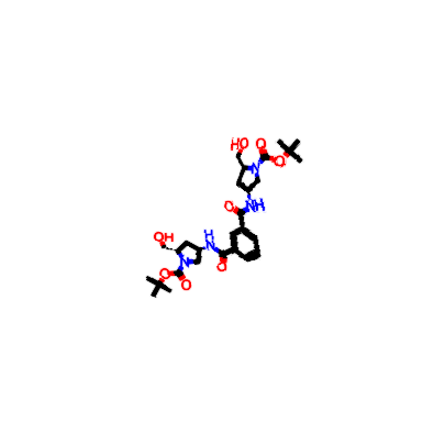 CC(C)(C)OC(=O)N1C[C@@H](NC(=O)c2cccc(C(=O)N[C@H]3C[C@@H](CO)N(C(=O)OC(C)(C)C)C3)c2)C[C@H]1CO